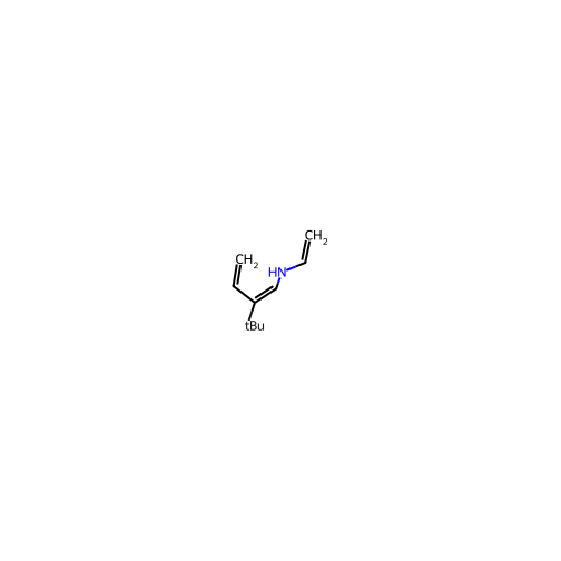 C=CN/C=C(\C=C)C(C)(C)C